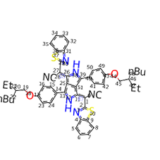 [C-]#[N+]/C(c1nc2ccccc2s1)=c1/[nH]c(-c2ccc(OCC(CC)CCCC)cc2)c2/c(=C(\C#N)c3nc4ccccc4s3)[nH]c(-c3ccc(OCC(CC)CCCC)cc3)c12